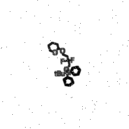 CC(C)(C)[Si](OCC(F)(F)CCOC1CCCCO1)(c1ccccc1)c1ccccc1